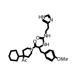 COc1ccc(CC(NC(=O)NCCc2c[nH]cn2)C(=O)N2CCC(C(C)=O)(C3CCCCC3)CC2)cc1